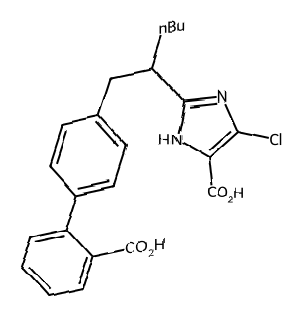 CCCCC(Cc1ccc(-c2ccccc2C(=O)O)cc1)c1nc(Cl)c(C(=O)O)[nH]1